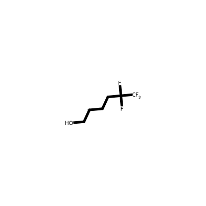 OC[CH]CCC(F)(F)C(F)(F)F